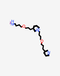 INCCCCOCCCc1ccc[n+](CCCCOCCCc2cccnc2)c1